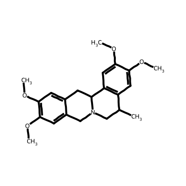 COc1cc2c(cc1OC)CN1CC(C)c3cc(OC)c(OC)cc3C1C2